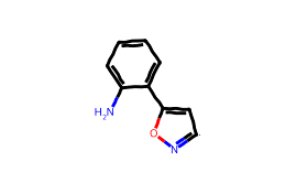 Nc1ccccc1-c1c[c]no1